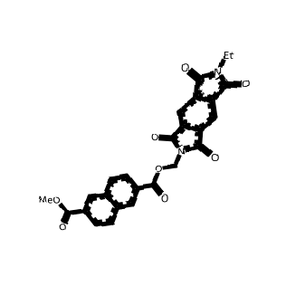 CCn1c(=O)c2cc3c(=O)n(COC(=O)c4ccc5cc(C(=O)OC)ccc5c4)c(=O)c3cc2c1=O